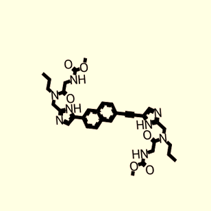 CCCN(Cc1ncc(C#Cc2ccc3cc(-c4cnc(CN(CCC)C(=O)CNC(=O)OC)[nH]4)ccc3c2)[nH]1)C(=O)CNC(=O)OC